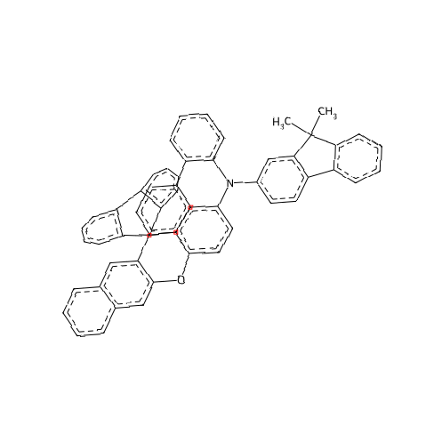 CC1(C)c2ccccc2-c2ccc(N(c3ccc4c(c3)C3(c5cc6ccccc6cc5O4)c4ccccc4-c4ccccc43)c3ccccc3-c3ccccc3)cc21